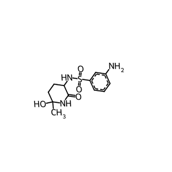 CC1(O)CCC(NS(=O)(=O)c2cccc(N)c2)C(=O)N1